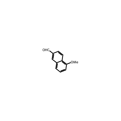 COc1cccc2cc(C=O)ccc12